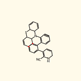 N#CC1=C(c2ccccc2-c2ccc#cc2N2C3C=CC=CC3SC3C=CCCC32)C=CCN1